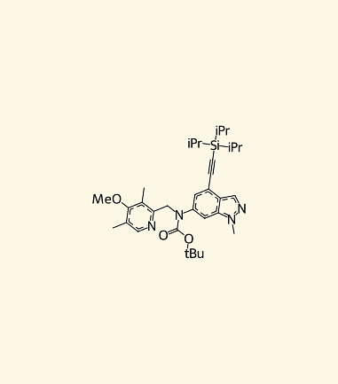 COc1c(C)cnc(CN(C(=O)OC(C)(C)C)c2cc(C#C[Si](C(C)C)(C(C)C)C(C)C)c3cnn(C)c3c2)c1C